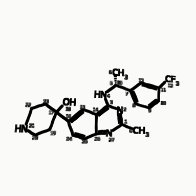 Cc1nc(N[C@H](C)c2cccc(C(F)(F)F)c2)c2cc(C3(O)CCNCC3)ccc2n1